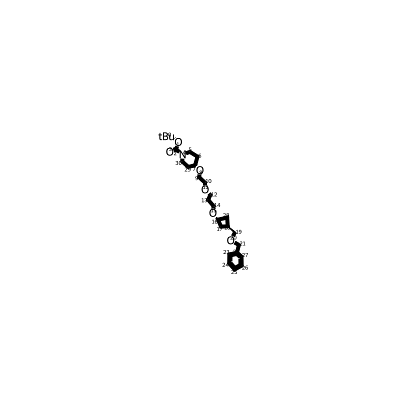 CC(C)(C)OC(=O)N1CCC(OCCOCCCO[C@H]2C[C@H](COCc3ccccc3)C2)CC1